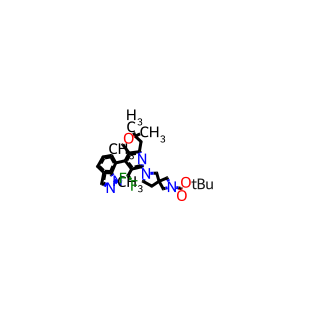 Cc1ccc2cnn(C)c2c1-c1c2c(nc(N3CCC4(CN(C(=O)OC(C)(C)C)C4)C3)c1C(F)F)CC(C)(C)OC2